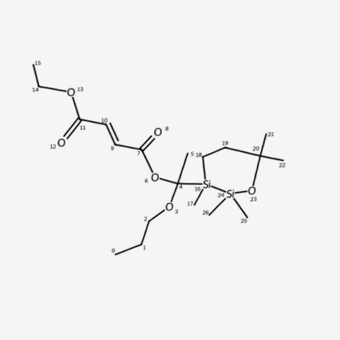 CCCOC(C)(OC(=O)C=CC(=O)OCC)[Si]1(C)CCC(C)(C)O[Si]1(C)C